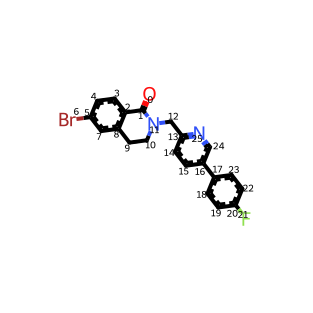 O=C1c2ccc(Br)cc2CCN1Cc1ccc(-c2ccc(F)cc2)cn1